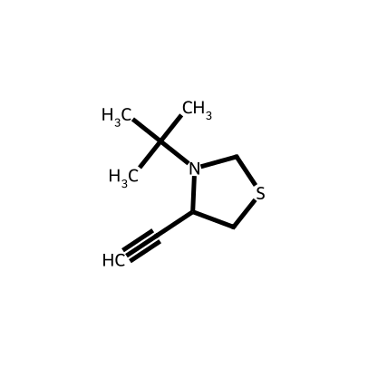 C#CC1CSCN1C(C)(C)C